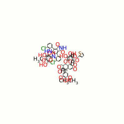 CO[C@H]1[C@H](O)[C@@H](O)[C@H](n2c3c(Cl)cccc3c3c4c(c5c6cccc(Cl)c6[nH]c5c32)C(=O)NC4=O)O[C@@H]1CO.COc1cc([C@@H]2c3cc4c(cc3C(O[C@@H]3O[C@@H]5COC(c6cccs6)O[C@H]5[C@H](O)[C@H]3O)C3COC(=O)[C@@H]32)OCO4)cc(OC)c1O